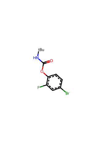 CC(C)(C)NC(=O)Oc1ccc(Br)cc1F